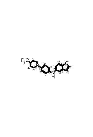 FC(F)(F)C1CCN(c2ccc(Nc3ccc4occc4c3)cc2)CC1